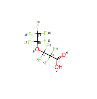 O=C(O)C(F)(F)C(F)(F)OC(F)(F)C(F)(F)F